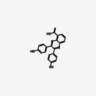 C=C(O)c1cccc2nc(-c3ccc(O)cc3)c(-c3ccc(O)cc3)nc12